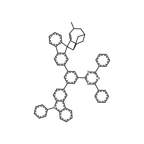 CC1C=C2C3CC(C1)CC3C21c2ccccc2-c2ccc(-c3cc(-c4ccc5c(c4)c4ccccc4n5-c4ccccc4)cc(-c4nc(-c5ccccc5)nc(-c5ccccc5)n4)c3)cc21